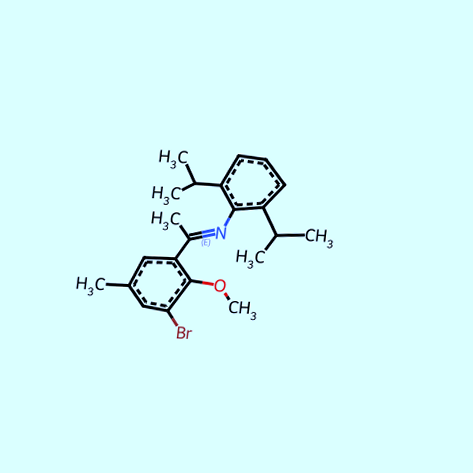 COc1c(Br)cc(C)cc1/C(C)=N/c1c(C(C)C)cccc1C(C)C